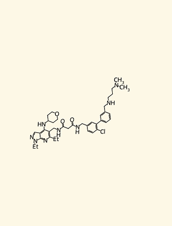 CCc1nc2c(cnn2CC)c(NC2CCOCC2)c1CNC(=O)CC(=O)NCc1ccc(Cl)c(-c2cccc(CNCCCN(C)C)c2)c1